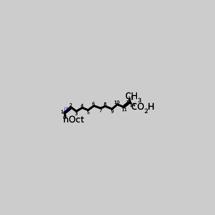 CCCCCCCC/C=C\CCCCCCCCC=C(C)C(=O)O